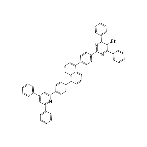 CCC1C(c2ccccc2)=NC(c2ccc(-c3cccc4c(-c5ccc(-c6cc(-c7ccccc7)cc(-c7ccccc7)n6)cc5)cccc34)cc2)=NC1c1ccccc1